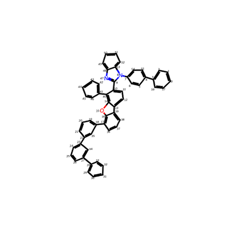 c1ccc(-c2ccc(-n3c(-c4ccc5c(oc6c(-c7cccc(-c8cccc(-c9ccccc9)c8)c7)cccc65)c4-c4ccccc4)nc4ccccc43)cc2)cc1